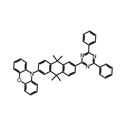 CC1(C)c2ccc(N3c4ccccc4Oc4ccccc43)cc2C(C)(C)c2ccc(-c3nc(-c4ccccc4)nc(-c4ccccc4)n3)cc21